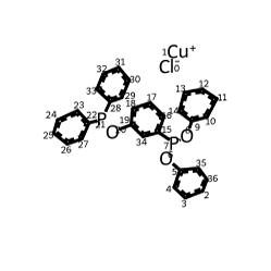 [Cl-].[Cu+].c1ccc(OP(Oc2ccccc2)c2cccc(OP(c3ccccc3)c3ccccc3)c2)cc1